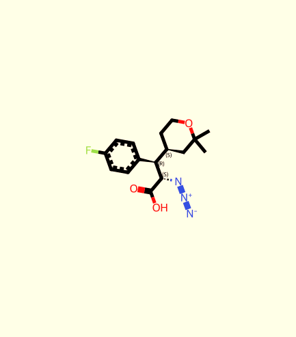 CC1(C)C[C@@H]([C@H](c2ccc(F)cc2)[C@H](N=[N+]=[N-])C(=O)O)CCO1